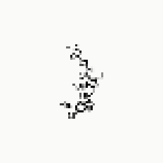 C=CC(=O)N1CC(NC(=O)c2c(Cl)nc(CNc3n[nH]c4cc(Cl)c(C(C)(C)C)cc34)n2CCCC)C1